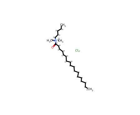 CCCCCCCCCCCCCCCCCC(=O)[N+](C)(C)CCCCC.[Cl-]